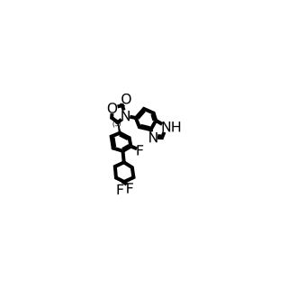 O=C1OC[C@H](c2ccc(C3CCC(F)(F)CC3)c(F)c2)N1c1ccc2[nH]cnc2c1